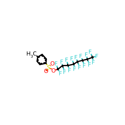 Cc1ccc(S(=O)(=O)OC(F)(F)C(F)(F)C(F)(F)C(F)(F)C(F)(F)C(F)(F)C(F)(F)C(F)(F)F)cc1